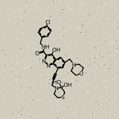 O=C(NCc1ccc(Cl)cc1)c1nnc2c(C#CCN3CCSCC3(O)O)cc(CN3CCOCC3)cc2c1O